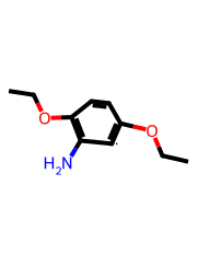 CCOc1[c]c(N)c(OCC)cc1